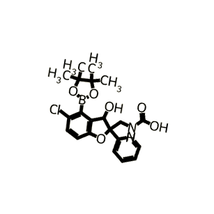 CC1(C)OB(c2c(Cl)ccc3c2C(O)C(CNC(=O)O)(c2ccccn2)O3)OC1(C)C